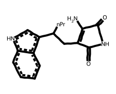 CCCC(CC1=C(N)C(=O)NC1=O)c1c[nH]c2ccccc12